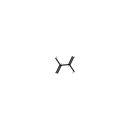 [CH2]C(=C)C([CH2])=C